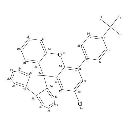 CC(C)(C)c1ccc(-c2cc(Cl)cc3c2Oc2ccccc2C32c3ccccc3-c3ccccc32)cc1